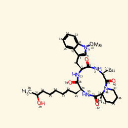 CCC(C)[C@@H]1NC(=O)[C@H](Cc2cn(OC)c3ccccc23)NC(=O)[C@H](CCCCCCC(C)O)NC(=O)[C@H]2CCCCN2C1=O